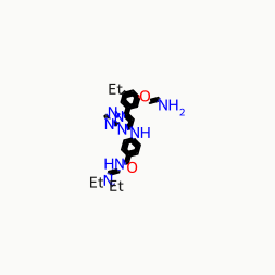 CCc1cc(OCCN)cc(-c2cc(Nc3ccc(C(=O)NCCN(CC)CC)cc3)nc3ncnn23)c1